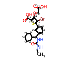 CCNC(=O)NC(c1cccc(-c2sc(C(=O)O)c(OCC(=O)O)c2Br)c1)C1CCCCC1